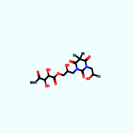 CCC(O)CN1C(=O)N(CC(O)COC(=O)C(O)C(O)C(=O)OC)C(=O)C(CC)(CC)C1=O